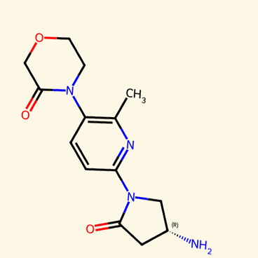 Cc1nc(N2C[C@H](N)CC2=O)ccc1N1CCOCC1=O